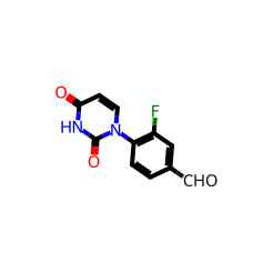 O=Cc1ccc(-n2ccc(=O)[nH]c2=O)c(F)c1